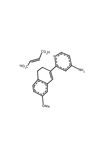 COc1ccc2c(c1)C=C(c1cc(N)ccn1)CC2.O=C(O)/C=C/C(=O)O